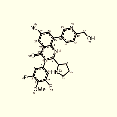 COc1c(F)cc(-n2c(C3CCCN3)nc3c(-c4ccc(CO)nc4)cc(C#N)cc3c2=O)cc1F